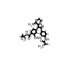 C=C(F)C(=O)Nc1ccc(-c2nn3ncnc(N)c3c2-c2ccc(C(=O)NC3(C)CC3)c(OC)c2)cc1